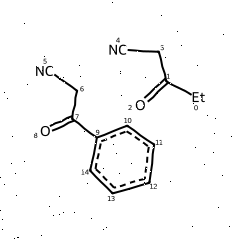 CCC(=O)CC#N.N#CCC(=O)c1ccccc1